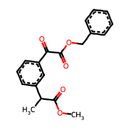 COC(=O)C(C)c1cccc(C(=O)C(=O)OCc2ccccc2)c1